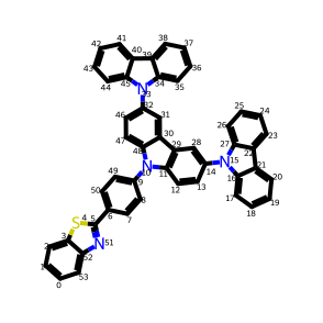 c1ccc2sc(-c3ccc(-n4c5ccc(-n6c7ccccc7c7ccccc76)cc5c5cc(-n6c7ccccc7c7ccccc76)ccc54)cc3)nc2c1